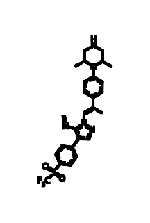 C=Nc1c(-c2ccc(S(=O)(=O)C(F)(F)F)cc2)cnn1/C=C(\C)c1ccc(N2[C@H](C)CNC[C@@H]2C)cc1